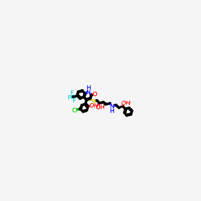 O=c1[nH]c2ccc(C(F)(F)F)cc2c(-c2cc(Cl)ccc2O)c1SCC(O)CCCNCCC(O)c1ccccc1